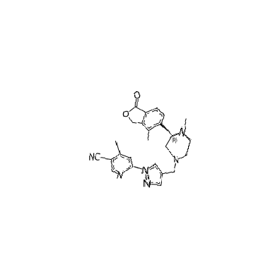 Cc1cc(-n2cc(CN3CCN(C)[C@H](c4ccc5c(c4C)COC5=O)C3)cn2)ncc1C#N